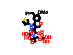 COc1cc2c(cc1CC(C)C)-c1c(c(C(=O)N(C(O)(O)O)C3(COC(O)(O)O)COC3)nn1-c1ccsc1)CO2